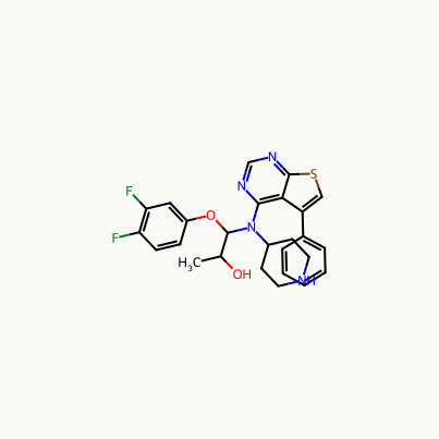 CC(O)C(Oc1ccc(F)c(F)c1)N(c1ncnc2scc(-c3ccccc3)c12)C1CCNCC1